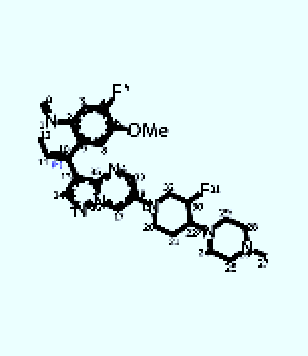 C=Nc1cc(F)c(OC)cc1/C(=C\C)c1cnn2cc(N3CCC(N4CCN(C)CC4)C(F)C3)cnc12